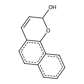 OC1C=Cc2ccc3ccccc3c2O1